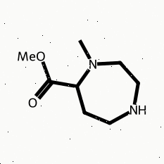 COC(=O)C1CCNCCN1C